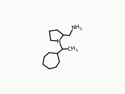 CC(C1CCCCCC1)N1CCCC1CN